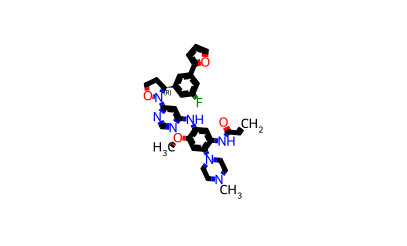 C=CC(=O)Nc1cc(Nc2cc(N3OCC[C@@H]3c3cc(F)cc(-c4ccco4)c3)ncn2)c(OC)cc1N1CCN(C)CC1